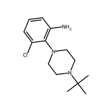 CC(C)(C)N1CCN(c2c(N)cccc2Cl)CC1